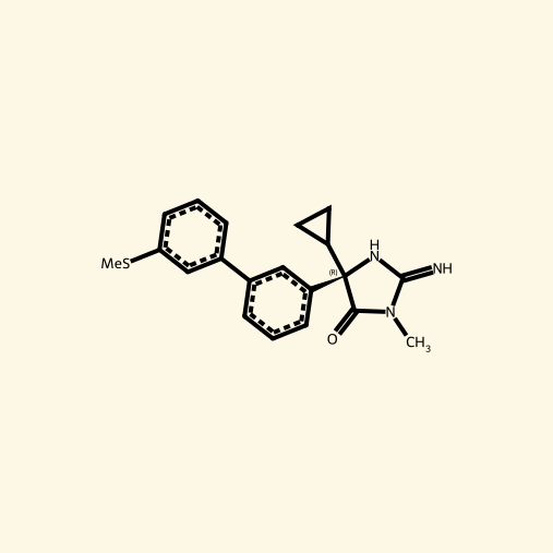 CSc1cccc(-c2cccc([C@@]3(C4CC4)NC(=N)N(C)C3=O)c2)c1